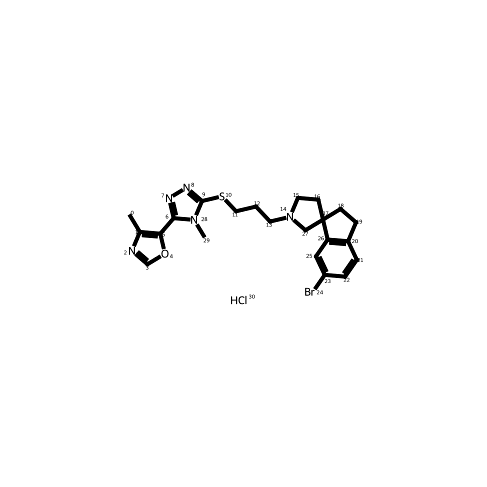 Cc1ncoc1-c1nnc(SCCCN2CCC3(CCc4ccc(Br)cc43)C2)n1C.Cl